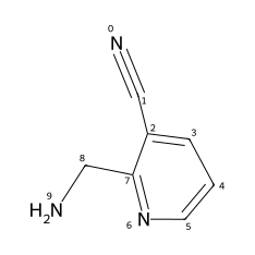 N#Cc1cccnc1CN